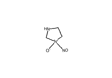 O=N[N+]1([O-])CCNC1